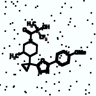 COc1ccc(-c2nnc(C3(C4CCN(C(=O)[C@@](C)(O)C(F)(F)F)CC4C)CC3)o2)cc1